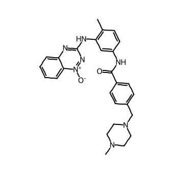 Cc1ccc(NC(=O)c2ccc(CN3CCN(C)CC3)cc2)cc1Nc1nc2ccccc2[n+]([O-])n1